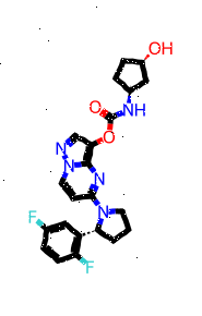 O=C(N[C@H]1CC[C@H](O)C1)Oc1cnn2ccc(N3CCC[C@@H]3c3cc(F)ccc3F)nc12